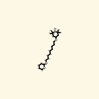 CC1(C)CC(OCCCCCCCCCOC2CCCCO2)CC(C)(C)N1